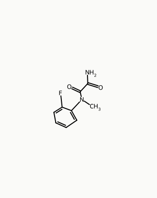 CN(C(=O)C(N)=O)c1ccccc1F